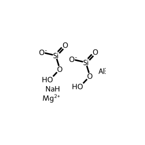 O=[Si]([O-])OO.O=[Si]([O-])OO.[Al].[Mg+2].[NaH]